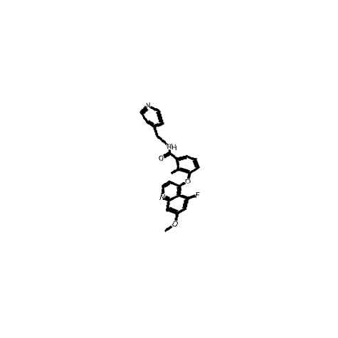 COc1cc(F)c2c(Oc3cccc(C(=O)NCc4ccncc4)c3C)ccnc2c1